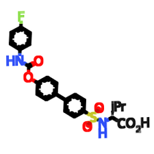 CC(C)[C@@H](NS(=O)(=O)c1ccc(-c2ccc(OC(=O)Nc3ccc(F)cc3)cc2)cc1)C(=O)O